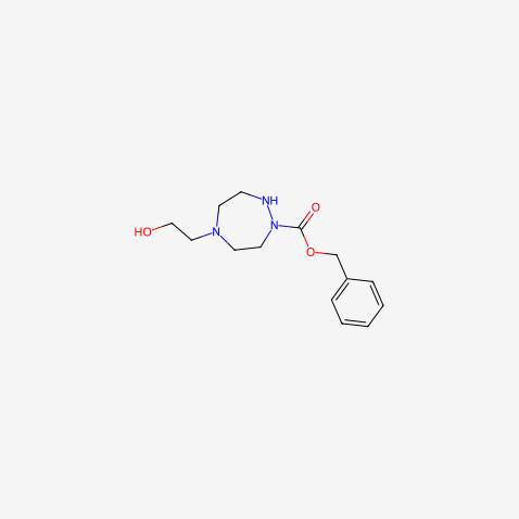 O=C(OCc1ccccc1)N1CCN(CCO)CCN1